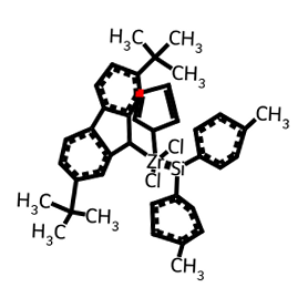 Cc1ccc([Si](c2ccc(C)cc2)=[Zr]([Cl])([Cl])([CH]2C=CC=C2)[CH]2c3cc(C(C)(C)C)ccc3-c3ccc(C(C)(C)C)cc32)cc1